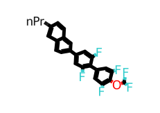 CCCc1ccc2cc(-c3cc(F)c(-c4cc(F)c(OC(F)F)c(F)c4)c(F)c3)ccc2c1